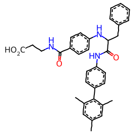 Cc1cc(C)c(-c2ccc(NC(=O)C(Cc3ccccc3)Nc3ccc(C(=O)NCCC(=O)O)cc3)cc2)c(C)c1